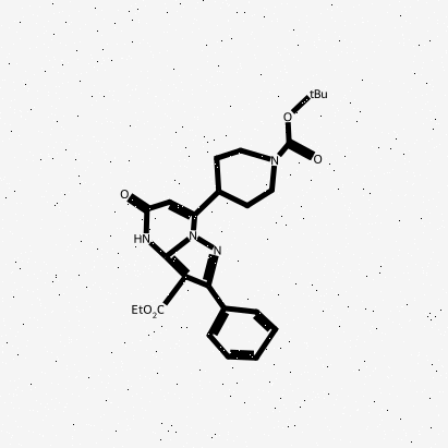 CCOC(=O)c1c(-c2ccccc2)nn2c(C3CCN(C(=O)OC(C)(C)C)CC3)cc(=O)[nH]c12